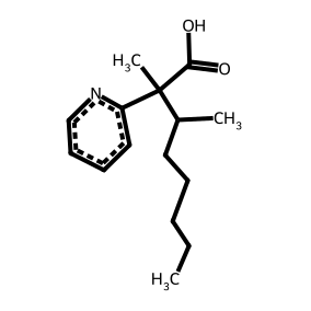 CCCCCC(C)C(C)(C(=O)O)c1ccccn1